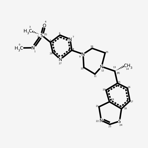 CN=[S@@](C)(=O)c1cnc(N2CCN([C@H](C)c3ccc4c(c3)CN=CS4)CC2)nc1